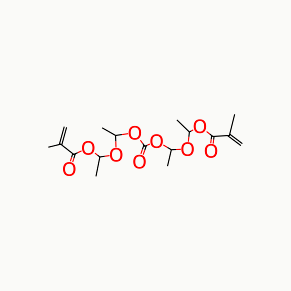 C=C(C)C(=O)OC(C)OC(C)OC(=O)OC(C)OC(C)OC(=O)C(=C)C